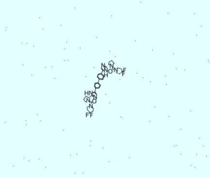 O=C(N1CCC(F)(F)CC1)N1CCC[C@H]1c1ncc(-c2ccc(-c3ccc(-c4cnc([C@@H]5CCCN5C(=O)N5CCC(F)(F)CC5)[nH]4)cc3)cc2)[nH]1